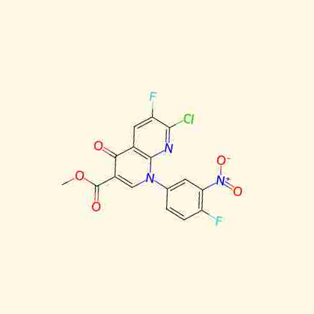 COC(=O)c1cn(-c2ccc(F)c([N+](=O)[O-])c2)c2nc(Cl)c(F)cc2c1=O